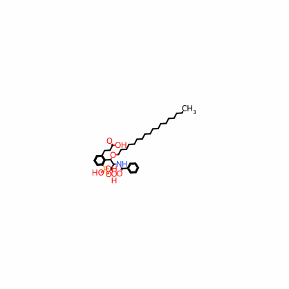 CCCCCCCCCCCCCCCCCCOC(c1c(CCC(=O)O)cccc1P(=O)(O)O)C(CO)NC(=O)c1ccccc1